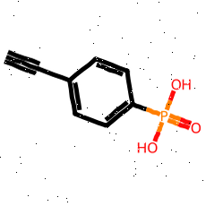 C#Cc1ccc(P(=O)(O)O)cc1